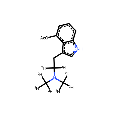 [2H]C([2H])([2H])N(C([2H])([2H])[2H])C([2H])([2H])Cc1c[nH]c2cccc(OC(C)=O)c12